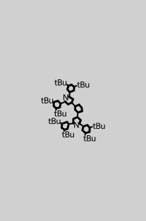 CC(C)(C)c1cc(-c2cc(-c3cccc(-c4cc(-c5cc(C(C)(C)C)cc(C(C)(C)C)c5)nc(-c5cc(C(C)(C)C)cc(C(C)(C)C)c5)c4)c3)cc(-c3cc(C(C)(C)C)cc(C(C)(C)C)c3)n2)cc(C(C)(C)C)c1